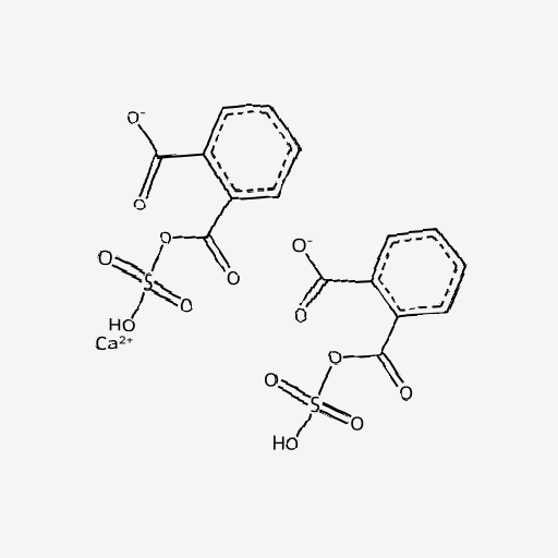 O=C([O-])c1ccccc1C(=O)OS(=O)(=O)O.O=C([O-])c1ccccc1C(=O)OS(=O)(=O)O.[Ca+2]